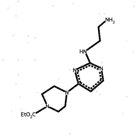 CCOC(=O)N1CCN(c2ccnc(NCCN)n2)CC1